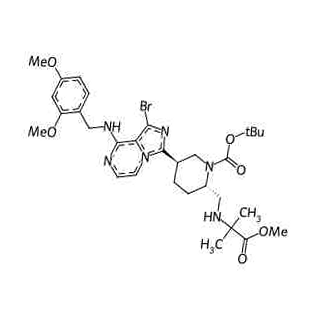 COC(=O)C(C)(C)NC[C@@H]1CC[C@@H](c2nc(Br)c3c(NCc4ccc(OC)cc4OC)nccn23)CN1C(=O)OC(C)(C)C